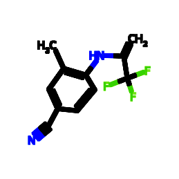 C=C(Nc1ccc(C#N)cc1C)C(F)(F)F